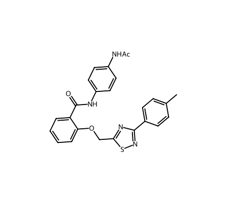 CC(=O)Nc1ccc(NC(=O)c2ccccc2OCc2nc(-c3ccc(C)cc3)ns2)cc1